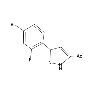 CC(=O)c1cc(-c2ccc(Br)cc2F)n[nH]1